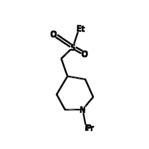 CCS(=O)(=O)CC1CCN(C(C)C)CC1